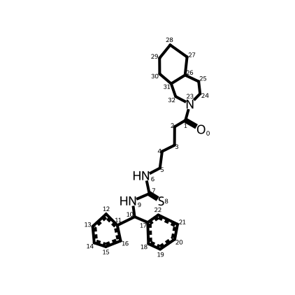 O=C(CCCCNC(=S)NC(c1ccccc1)c1ccccc1)N1CCC2CCCCC2C1